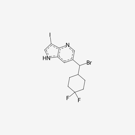 FC1(F)CCC(C(Br)c2cnc3c(I)c[nH]c3c2)CC1